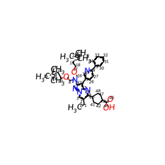 CCc1cn2nc(N(COCC[Si](C)(C)C)COCC[Si](C)(C)C)c(-c3ccc(-c4ccccc4)nc3)c2nc1C1CCC(C(=O)O)CC1